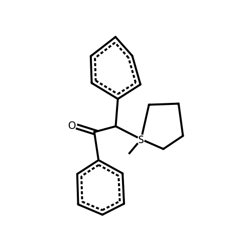 CS1(C(C(=O)c2ccccc2)c2ccccc2)CCCC1